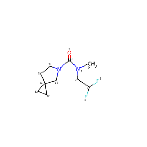 CN(CC(F)F)C(=O)N1CCC2(CC2)C1